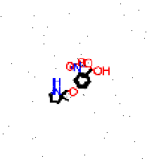 C[C@@]1(COc2ccc(C(=O)O)c([N+](=O)[O-])c2)CCCN1